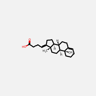 C[C@]12CCCC=C1CC[C@@H]1[C@@H]2CC[C@]2(C)C(=CCCC(=O)O)CC[C@@H]12